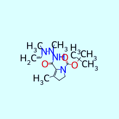 C=CN(C)N(C)NC(=O)C1=C(C)CCN1C(=O)OC(C)(C)C